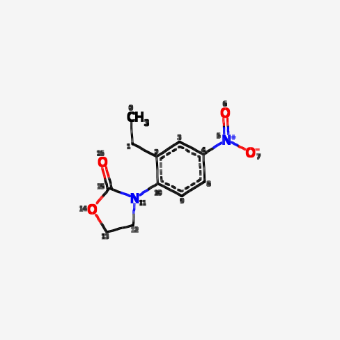 CCc1cc([N+](=O)[O-])ccc1N1CCOC1=O